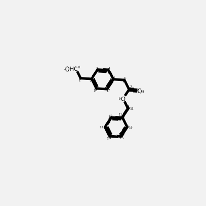 O=[C]Cc1ccc(CC(=O)OCc2ccccc2)cc1